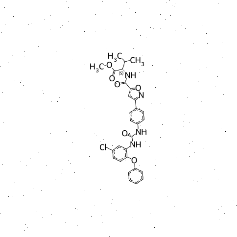 COC(=O)[C@@H](NC(=O)c1cc(-c2ccc(NC(=O)Nc3cc(Cl)ccc3Oc3ccccc3)cc2)no1)C(C)C